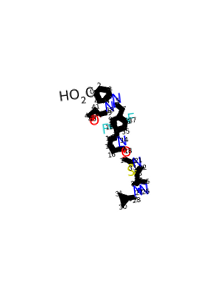 O=C(O)c1ccc2nc(Cc3cc(F)c(-c4cccc(OCc5ncc(-c6cnn(CC7CC7)c6)s5)n4)cc3F)n(CC3CCO3)c2c1